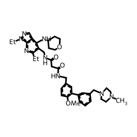 CCc1nc2c(cnn2CC)c(NC2CCOCC2)c1CNC(=O)CC(=O)NCc1ccc(OC)c(-c2cccc(CN3CCN(C)CC3)c2)c1